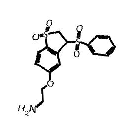 NCCOc1ccc2c(c1)C(S(=O)(=O)c1ccccc1)CS2(=O)=O